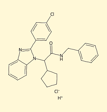 O=C(NCc1ccccc1)C(C1CCCC1)n1c(-c2ccc(Cl)cc2)nc2ccccc21.[Cl-].[H+]